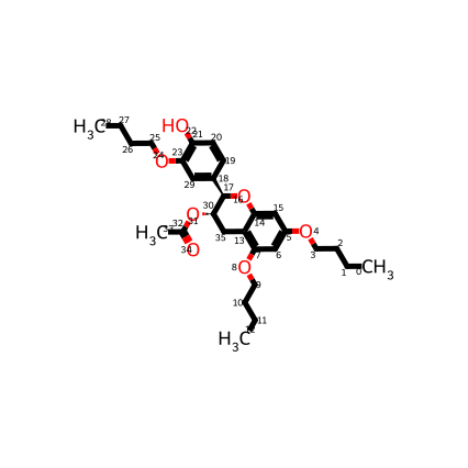 CCCCOc1cc(OCCCC)c2c(c1)O[C@H](c1ccc(O)c(OCCCC)c1)[C@@H](OC(C)=O)C2